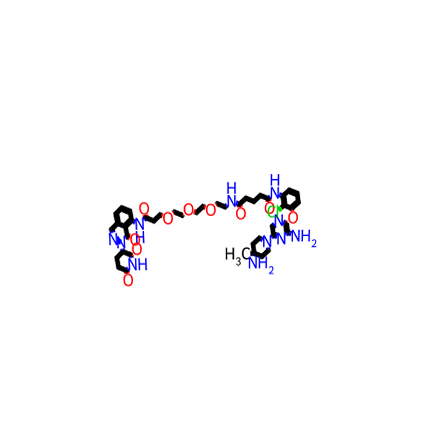 CC1(N)CCN(c2cnc(Oc3cccc(NC(=O)CCCC(=O)NCCOCCOCCOCCC(=O)Nc4cccc5cnn(C6CCC(=O)NC6=O)c(=O)c45)c3Cl)c(N)n2)CC1